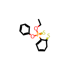 CCOP(=S)(Oc1ccccc1)C1=CC=CCC1=S